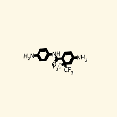 NC1=CC(C(F)(F)F)(C(F)(F)F)C(C(=O)Nc2ccc(N)cc2)C=C1